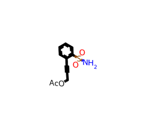 CC(=O)OCC#Cc1ccccc1S(N)(=O)=O